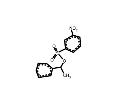 CC(OS(=O)(=O)c1cccc([N+](=O)[O-])c1)c1ccccc1